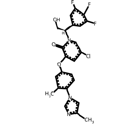 Cc1cn(-c2ccc(Oc3cc(Cl)cn([C@@H](CO)c4cc(F)c(F)c(F)c4)c3=O)cc2C)cn1